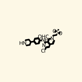 CS(=O)(=O)CCN1C=Cc2cc(Cl)nc(Nc3ccc(C4CCNCC4)cc3)c2C1C=O